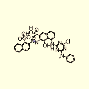 CN(c1ccccc1)c1nc(Cl)nc(Nc2cccc3cc(S(=O)(=O)O)c(/N=N/c4ccc5ccccc5c4S(=O)(=O)O)c(O)c23)n1